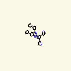 Nc1ccc(-c2ccccc2)cc1/C(=N\Cc1cc(-c2cccnc2)cc(-c2cccnc2)c1)c1cccc(-c2ccccc2)c1